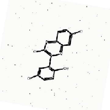 Oc1ccc(Cl)cc1-c1nc2cc(Cl)ccc2nc1Cl